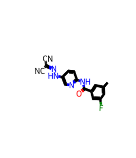 Cc1cc(F)cc(C(=O)Nc2ccc(NN=C(C#N)C#N)cn2)c1